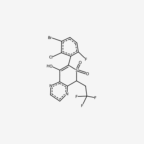 O=S1(=O)C(c2c(F)ccc(Br)c2Cl)=C(O)c2nccnc2C1CC(F)(F)F